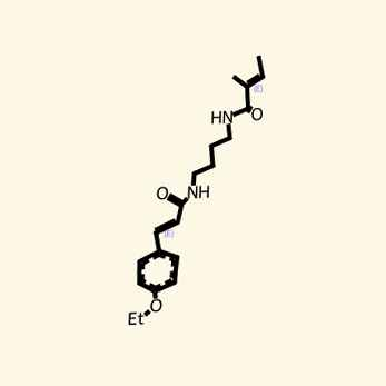 C/C=C(\C)C(=O)NCCCCNC(=O)/C=C/c1ccc(OCC)cc1